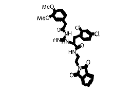 COc1ccc(CC(=O)NC(=N)NC(Cc2ccc(Cl)cc2Cl)C(=O)NCCN2C(=O)c3ccccc3C2=O)cc1OC